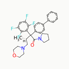 C[C@@H](CN1CCOCC1)C(C(=O)N1CCCC1)(c1ccc(-c2ccccc2)cc1)c1c(F)c(F)cc(F)c1F